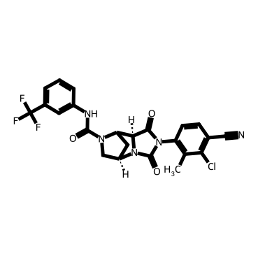 Cc1c(N2C(=O)[C@@H]3C4C[C@H](CN4C(=O)Nc4cccc(C(F)(F)F)c4)N3C2=O)ccc(C#N)c1Cl